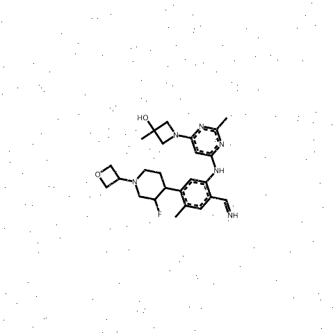 Cc1nc(Nc2cc(C3CCN(C4COC4)CC3F)c(C)cc2C=N)cc(N2CC(C)(O)C2)n1